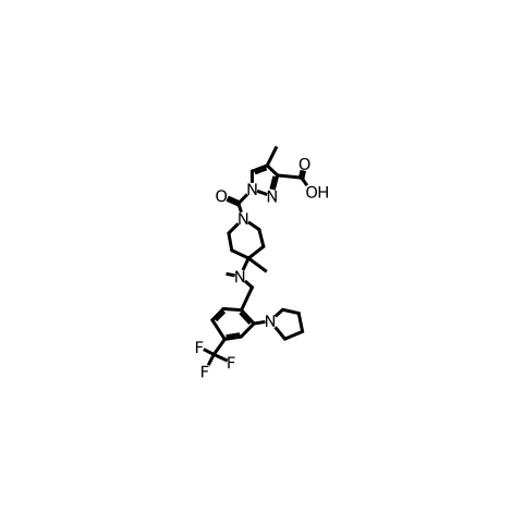 Cc1cn(C(=O)N2CCC(C)(N(C)Cc3ccc(C(F)(F)F)cc3N3CCCC3)CC2)nc1C(=O)O